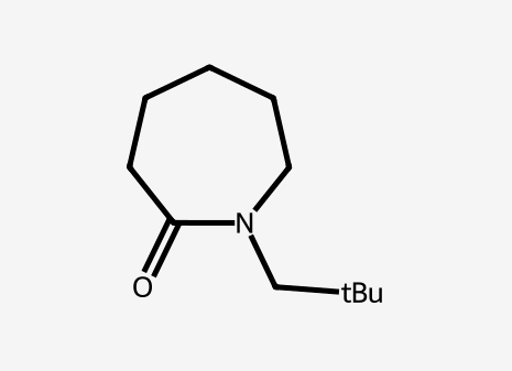 CC(C)(C)CN1CCCCCC1=O